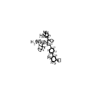 CCCC(C=O)(CO)C[C@@H](Cc1ccc(-c2cc(Cl)ccc2F)cc1)NC(=O)c1cnn[nH]1